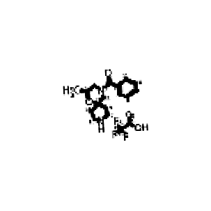 CC1CN(C(=O)c2ccccc2)CC2(CCNCC2)O1.O=C(O)C(F)(F)F